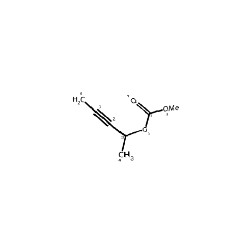 [CH2]C#CC(C)OC(=O)OC